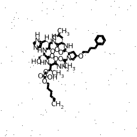 C=CCCCCOP(=O)(O)O[C@H](C)C(NC(=O)[C@H](CO)NC(=O)[C@H](Cc1cnc[nH]1)NC(=O)[C@H](CC(C)C)NC(=O)[C@@H]1C[C@@H](OCCCCc2ccccc2)CN1C(C)=O)C(N)=O